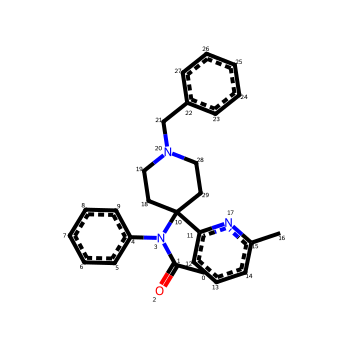 CC(=O)N(c1ccccc1)C1(c2cccc(C)n2)CCN(Cc2ccccc2)CC1